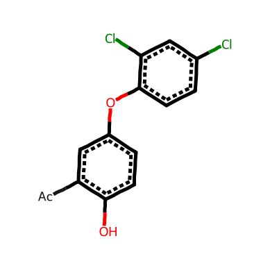 CC(=O)c1cc(Oc2ccc(Cl)cc2Cl)ccc1O